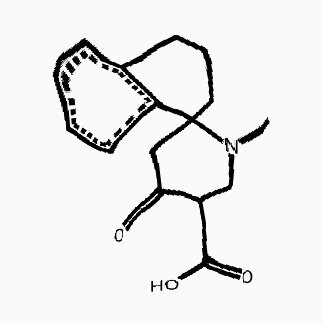 CN1CC(C(=O)O)C(=O)CC12CCCc1ccccc12